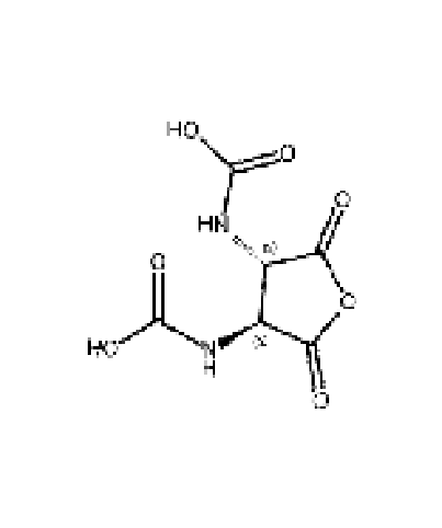 O=C(O)N[C@@H]1C(=O)OC(=O)[C@H]1NC(=O)O